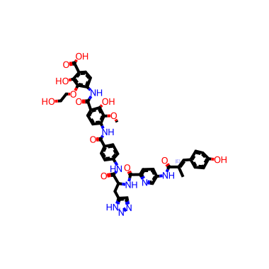 COc1c(NC(=O)c2ccc(NC(=O)C(Cc3cnn[nH]3)NC(=O)c3ccc(NC(=O)/C(C)=C/c4ccc(O)cc4)cn3)cc2)ccc(C(=O)Nc2ccc(C(=O)O)c(O)c2OCCO)c1O